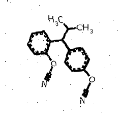 CC(C)C(c1ccc(OC#N)cc1)c1ccccc1OC#N